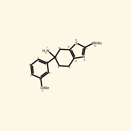 COc1cccc(C2(N)CCc3nc(NC(C)=O)sc3C2)c1